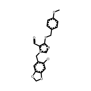 COc1ccc(CSc2ncn(Cc3cc4c(cc3Cl)OCO4)c2C=O)cc1